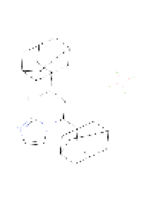 CC(CC([NH+]1C=CN=C1)C12CC3CC(CC(C3)C1)C2)C12CC3CC(CC(C3)C1)C2.F[B-](F)(F)F